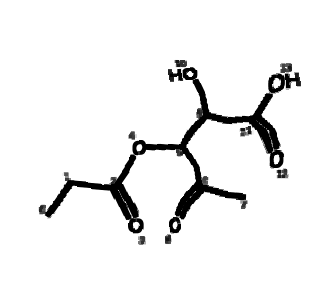 CCC(=O)OC(C(C)=O)C(O)C(=O)O